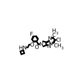 Cc1nc2c3c(nn2c(C)c1Cl)CN(C(=O)c1ccc(F)cc1OCCNC1CCC1)C3